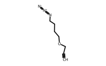 C#CCOCCCCN=[N+]=[N-]